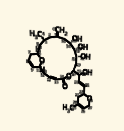 C=C1C[C@H](C)C[C@@H]2CC=C[C@@H](C/C=C\C(=O)O[C@H]([C@@H](O)/C=C/[C@@H]3CC(C)=CCO3)C[C@@H](O)[C@@H](O)[C@@H](O)C1)O2